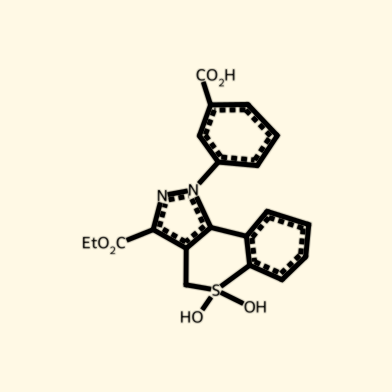 CCOC(=O)c1nn(-c2cccc(C(=O)O)c2)c2c1CS(O)(O)c1ccccc1-2